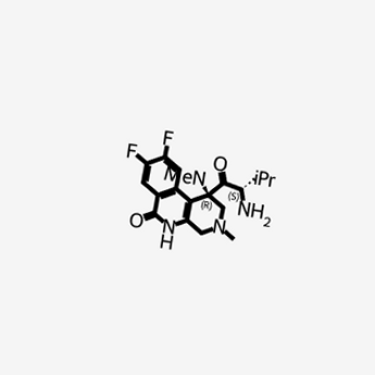 CN[C@@]1(C(=O)[C@@H](N)C(C)C)CN(C)Cc2[nH]c(=O)c3cc(F)c(F)cc3c21